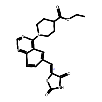 CCOC(=O)C1CCN(c2ncnc3ccc(/C=C4\SC(=O)NC4=O)cc23)CC1